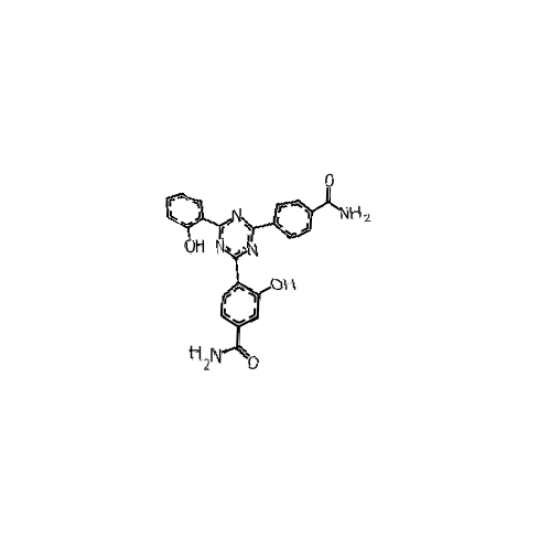 NC(=O)c1ccc(-c2nc(-c3ccccc3O)nc(-c3ccc(C(N)=O)cc3O)n2)cc1